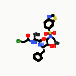 CC(C)CN(C[C@@H](O)[C@H](Cc1ccccc1)NC(=O)[C@@H](NC(=O)CCl)C(C)(C)C)S(=O)(=O)c1ccc2ncsc2c1